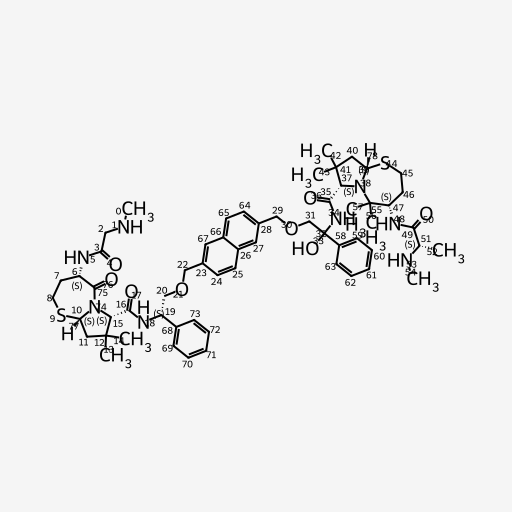 CNCC(=O)N[C@H]1CCS[C@H]2CC(C)(C)[C@@H](C(=O)N[C@H](COCc3ccc4cc(COCC(O)(NC(=O)[C@H]5N6[C@H](CC5(C)C)SCC[C@H](NC(=O)[C@H](C)NC)C6(C)C)c5ccccc5)ccc4c3)c3ccccc3)N2C1=O